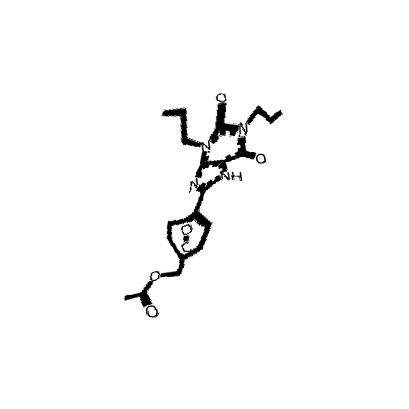 CCCn1c(=O)c2[nH]c(C34CCC(COC(C)=O)(CC3)CO4)nc2n(CCC)c1=O